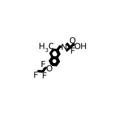 C[C@@H]1Cc2cc(OC(F)C(F)CF)ccc2C=C1CN1CC(F)(C(=O)O)C1